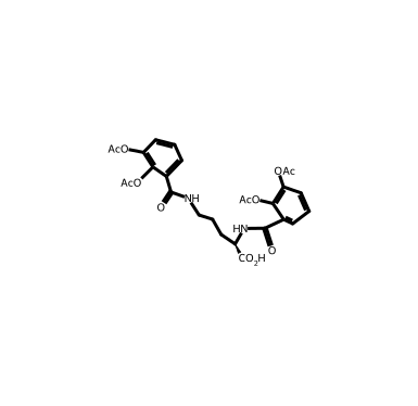 CC(=O)Oc1cccc(C(=O)NCCC[C@@H](NC(=O)c2cccc(OC(C)=O)c2OC(C)=O)C(=O)O)c1OC(C)=O